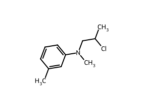 Cc1cccc(N(C)CC(C)Cl)c1